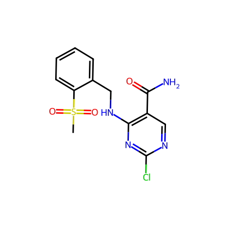 CS(=O)(=O)c1ccccc1CNc1nc(Cl)ncc1C(N)=O